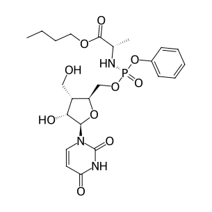 CCCCOC(=O)[C@H](C)N[P@](=O)(OC[C@H]1O[C@@H](n2ccc(=O)[nH]c2=O)[C@H](O)[C@@H]1CO)Oc1ccccc1